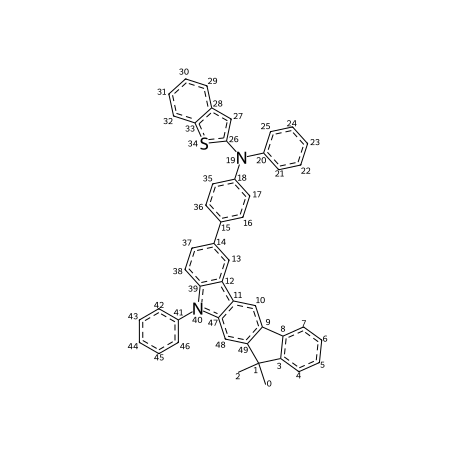 CC1(C)c2ccccc2-c2cc3c4cc(-c5ccc(N(c6ccccc6)c6cc7ccccc7s6)cc5)ccc4n(-c4ccccc4)c3cc21